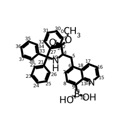 COC(=O)C(Cc1ccc(B(O)O)c2ncccc12)NC(c1ccccc1)(c1ccccc1)c1ccccc1